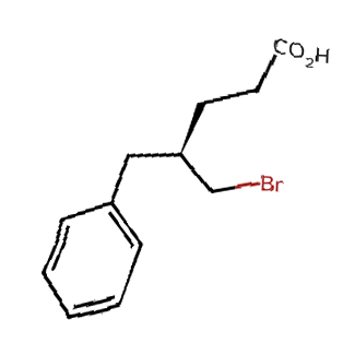 O=C(O)CC[C@@H](CBr)Cc1ccccc1